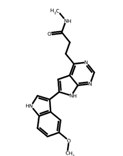 CNC(=O)CCc1ncnc2[nH]c(-c3c[nH]c4ccc(OC)cc34)cc12